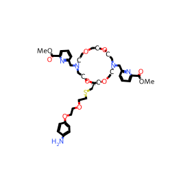 COC(=O)c1cccc(CN2CCOCCOCCN(Cc3cccc(C(=O)OC)n3)CCO[C@H](CSCCOCCOc3ccc(N)cc3)COCC2)n1